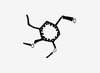 CCc1cc(C=O)cc(OC)c1OC